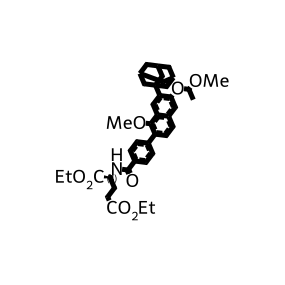 CCOC(=O)CC[C@H](NC(=O)c1ccc(-c2ccc3cc(OC(C)OC)c(C45CC6CC(CC(C6)C4)C5)cc3c2OC)cc1)C(=O)OCC